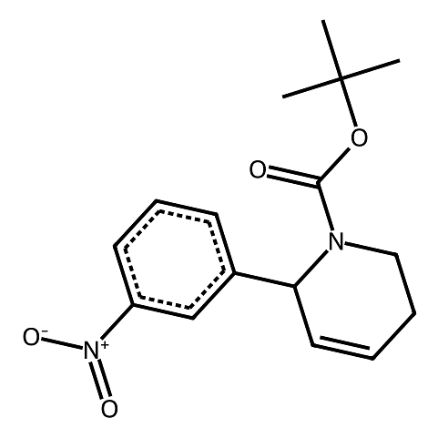 CC(C)(C)OC(=O)N1CCC=CC1c1cccc([N+](=O)[O-])c1